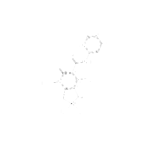 Cn1c2c(c(O)c(C(=O)Nc3ccccn3)c1=O)CC(C)(C)C2